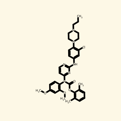 CCCN1CCN(c2ccc(Nc3nccc(N(C(=O)Oc4c(C)cccc4C)c4ccc(OC)cc4OC)n3)cc2Cl)CC1